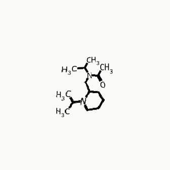 CC(=O)N(CC1CCCCN1C(C)C)C(C)C